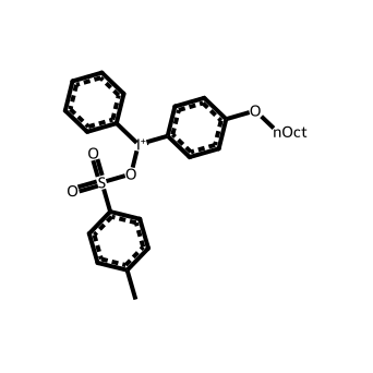 CCCCCCCCOc1ccc([I+](OS(=O)(=O)c2ccc(C)cc2)c2ccccc2)cc1